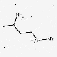 CCC[SiH2]CCC(C)N